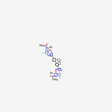 COC(=O)N[C@H](C(=O)N1C[C@H](F)C[C@H]1c1ncc(-c2ccc(-c3ccc(-c4cnc([C@@H]5C[C@@H](F)CN5C(=O)[C@@H](NC(=O)OC)C(C)C)[nH]4)c4c3C3(CCCC3)CC4)cc2)[nH]1)C(C)C